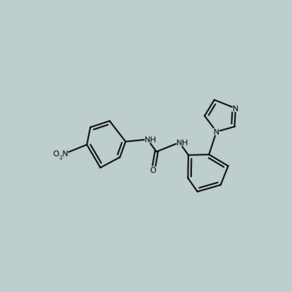 O=C(Nc1ccc([N+](=O)[O-])cc1)Nc1ccccc1-n1ccnc1